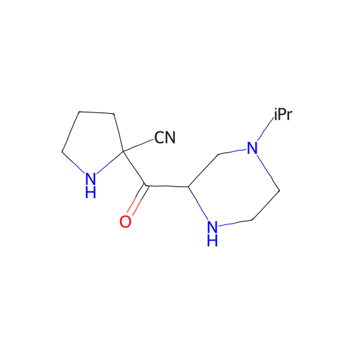 CC(C)N1CCNC(C(=O)C2(C#N)CCCN2)C1